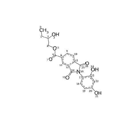 CCC(O)COC(=O)c1ccc2c(c1)C(=O)N(c1ccc(O)cc1O)C2=O